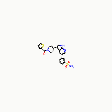 NS(=O)(=O)c1cccc(-c2cnc3[nH]cc(C4=CCN(C(=O)c5cccs5)CC4)c3c2)c1